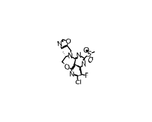 C[C@H]1COc2nc(Cl)c(F)c3nc(S(C)(=O)=O)nc(c23)N1Cc1cnco1